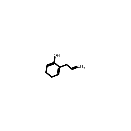 C=CCC1=CCCC=C1O